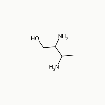 CC(N)C(N)CO